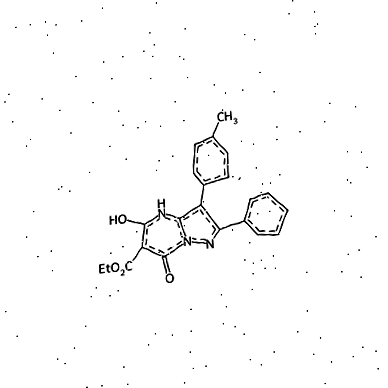 CCOC(=O)c1c(O)[nH]c2c(-c3ccc(C)cc3)c(-c3ccccc3)nn2c1=O